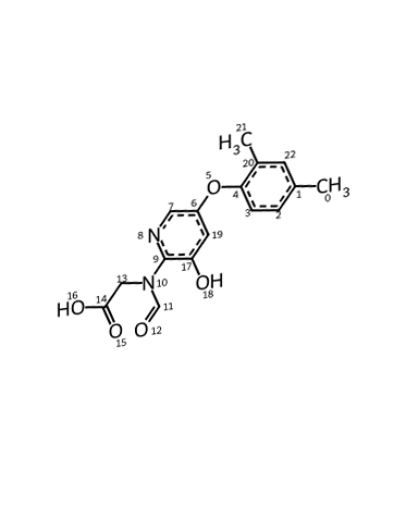 Cc1ccc(Oc2cnc(N(C=O)CC(=O)O)c(O)c2)c(C)c1